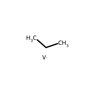 CCC.[V]